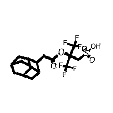 O=C(CC1C2CC3CC(C2)CC1C3)OC(CS(=O)(=O)O)(C(F)(F)F)C(F)(F)F